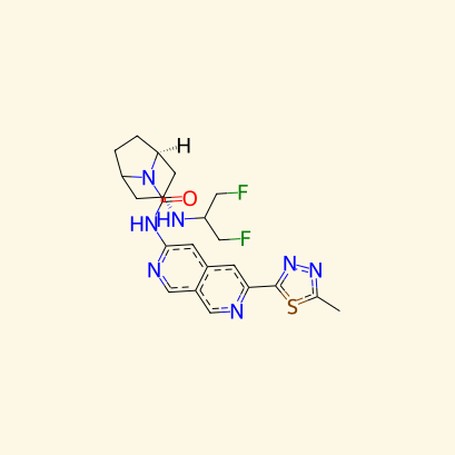 Cc1nnc(-c2cc3cc(NC(=O)N4C5CC[C@H]4C[C@H](NC(CF)CF)C5)ncc3cn2)s1